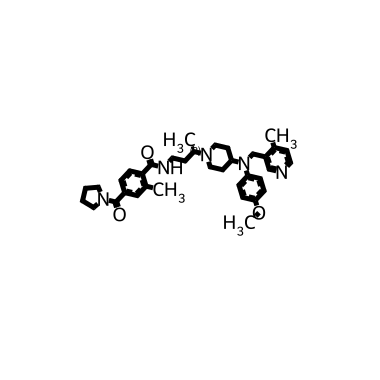 COc1ccc(N(Cc2cnccc2C)C2CCN([C@H](C)CCNC(=O)c3ccc(C(=O)N4CCCC4)cc3C)CC2)cc1